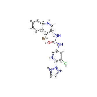 O=C(Nc1cnc(-n2nccn2)c(Cl)c1)Nc1cnc2ccccc2c1Br